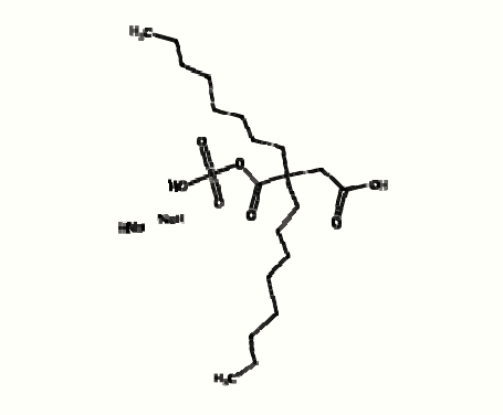 CCCCCCCCC(CCCCCCCC)(CC(=O)O)C(=O)OS(=O)(=O)O.[NaH].[NaH]